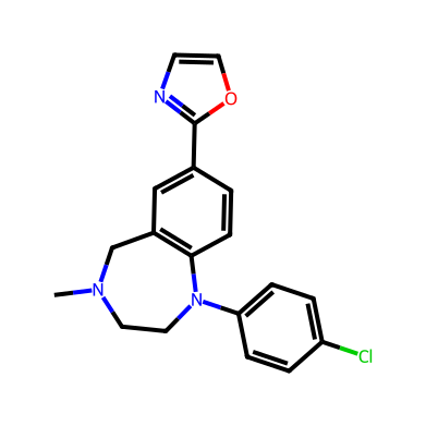 CN1CCN(c2ccc(Cl)cc2)c2ccc(-c3ncco3)cc2C1